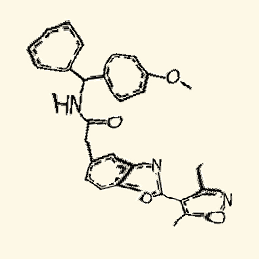 COc1ccc(C(NC(=O)Cc2ccc3oc(-c4c(C)noc4C)nc3c2)c2ccccc2)cc1